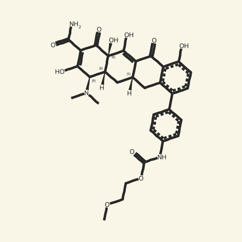 COCCOC(=O)Nc1ccc(-c2ccc(O)c3c2C[C@@H]2C[C@@H]4[C@@H](N(C)C)C(O)=C(C(N)=O)C(=O)[C@]4(O)C(O)=C2C3=O)cc1